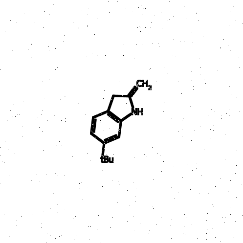 C=C1Cc2ccc(C(C)(C)C)cc2N1